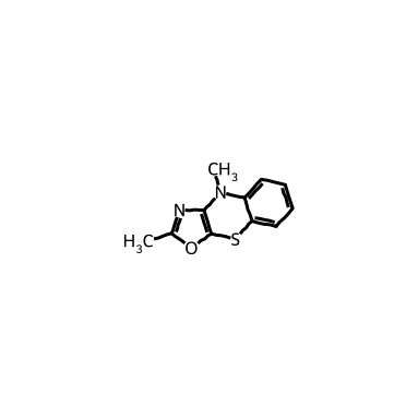 Cc1nc2c(o1)Sc1ccccc1N2C